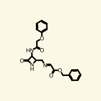 O=C(COc1ccccc1)NC1C(=O)NC1CN=CC(=O)OCc1ccccc1